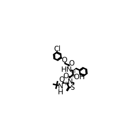 C=C1SCN(C(=O)[C@@H](O)[C@H](Cc2ccccc2)NC(=O)COc2cccc(Cl)c2)[C@@H]1C(=O)NC(C)(C)C